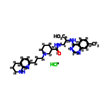 Cl.O=C(NCC(Nc1ncnc2cc(C(F)(F)F)ccc12)C(=O)O)C1CCCN(CCCc2ccc3c(n2)NCCC3)C1